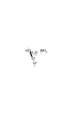 CCO.O.[AlH3].[H+]